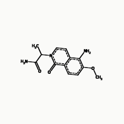 COc1ccc2c(=O)n(C(C)C(N)=O)ccc2c1N